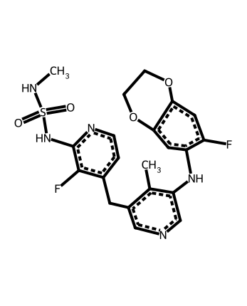 CNS(=O)(=O)Nc1nccc(Cc2cncc(Nc3cc4c(cc3F)OCCO4)c2C)c1F